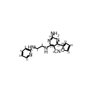 N#Cc1c(NCCNc2ccccn2)nc(N)nc1-c1ccco1